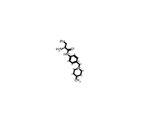 CC(C)C[C@H](N)C(=O)Nc1ccc(CN2CCC(C)CC2)cc1